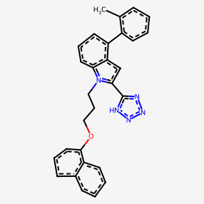 Cc1ccccc1-c1cccc2c1cc(-c1nnn[nH]1)n2CCCOc1cccc2ccccc12